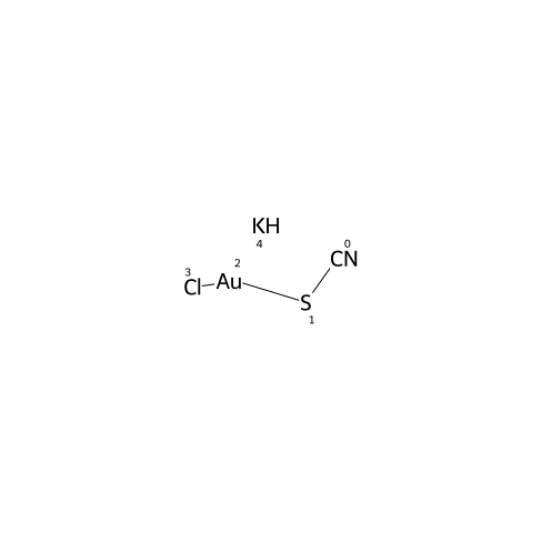 N#C[S][Au][Cl].[KH]